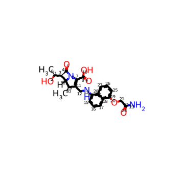 C[C@@H](O)[C@H]1C(=O)N2C(C(=O)O)=C(CNc3cccc4c(OCC(N)=O)cccc34)[C@H](C)[C@H]12